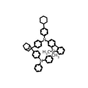 C[Si]1(C)c2ccccc2-c2ccc(N(c3ccc(C4CCCCC4)cc3)c3ccc(C4(c5ccc(N(c6ccccc6)c6ccccc6)cc5)CC5CCC4C5)cc3)cc21